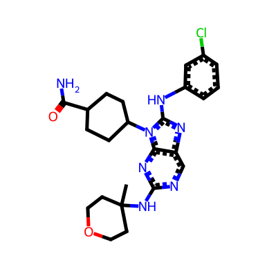 CC1(Nc2ncc3nc(Nc4cccc(Cl)c4)n(C4CCC(C(N)=O)CC4)c3n2)CCOCC1